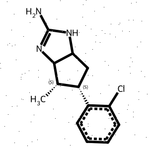 C[C@@H]1C2N=C(N)NC2C[C@@H]1c1ccccc1Cl